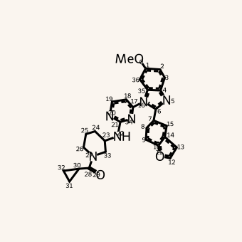 COc1ccc2nc(-c3ccc4occc4c3)n(-c3ccnc(NC4CCCN(C(=O)C5CC5)C4)n3)c2c1